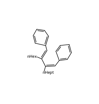 CCCCCCCC(=Cc1ccccc1)C(=Cc1ccccc1)CCCCCC